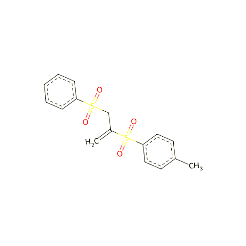 C=C(CS(=O)(=O)c1ccccc1)S(=O)(=O)c1ccc(C)cc1